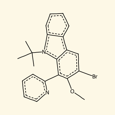 COc1c(Br)cc2c3ccccc3n(C(C)(C)C)c2c1-c1ccccn1